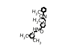 Cc1ccccc1-c1nc(CN2CCC(C(=O)NCCN3C[C@H](C)C[C@H](C)C3)CC2)c(C)o1